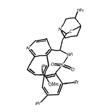 CCCC1CN2CCC1CC2C(NS(=O)(=O)c1c(C(C)C)cc(C(C)C)cc1C(C)C)c1ccnc2ccc(OC)cc12